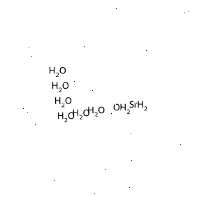 O.O.O.O.O.O.O.[SrH2]